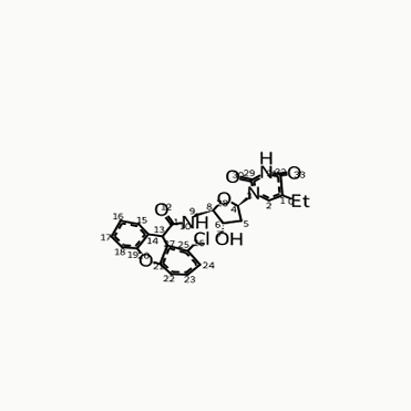 CCc1cn([C@H]2C[C@H](O)[C@@H](CNC(=O)C3c4ccccc4Oc4cccc(Cl)c43)O2)c(=O)[nH]c1=O